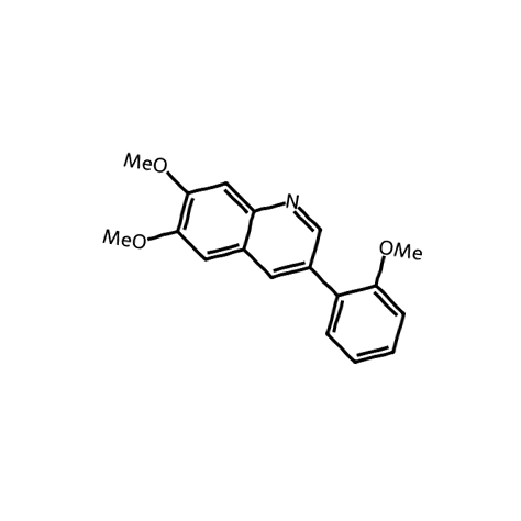 COc1cc2cc(-c3ccccc3OC)cnc2cc1OC